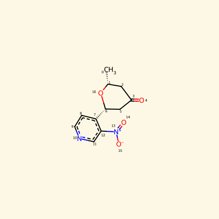 C[C@@H]1CC(=O)C[C@H](c2ccncc2[N+](=O)[O-])O1